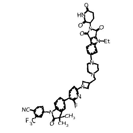 CCn1c2c(c3ccc(N4CCN(CC5CN(c6ccc(-c7ccc8c(c7)C(C)(C)C(=O)N8c7ccc(C#N)c(C(F)(F)F)c7)c(F)n6)C5)CC4)cc31)C(=O)N(C1CCC(=O)NC1=O)C2=O